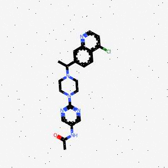 CC(=O)Nc1cnc(N2CCN(C(C)c3ccc4c(Cl)ccnc4c3)CC2)nc1